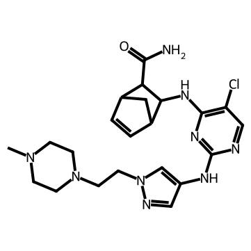 CN1CCN(CCn2cc(Nc3ncc(Cl)c(NC4C5C=CC(C5)C4C(N)=O)n3)cn2)CC1